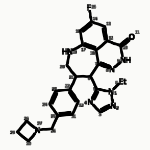 CCn1ncnc1C1c2n[nH]c(=O)c3cc(F)cc(c23)NCC1c1ccc(CN2CCC2)cc1